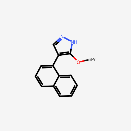 CCCOc1[nH]n[c]c1-c1cccc2ccccc12